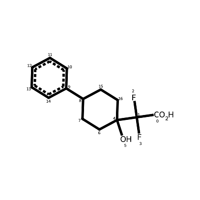 O=C(O)C(F)(F)C1(O)CCC(c2ccccc2)CC1